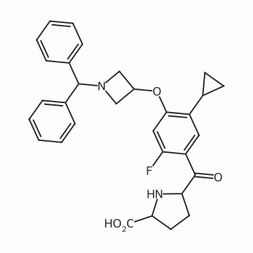 O=C(O)C1CCC(C(=O)c2cc(C3CC3)c(OC3CN(C(c4ccccc4)c4ccccc4)C3)cc2F)N1